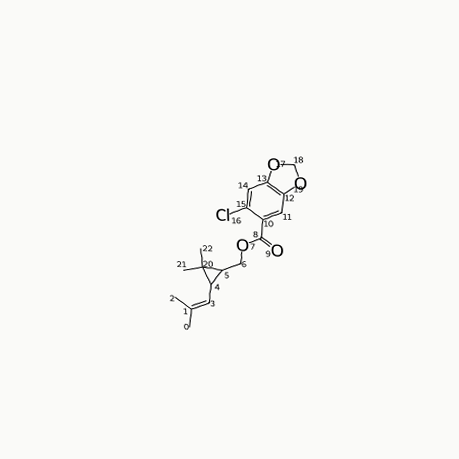 CC(C)=CC1C(COC(=O)c2cc3c(cc2Cl)OCO3)C1(C)C